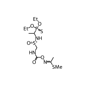 CCOP(=S)(OCC)C(C)N[S+]([O-])CNC(=O)ON=C(C)SC